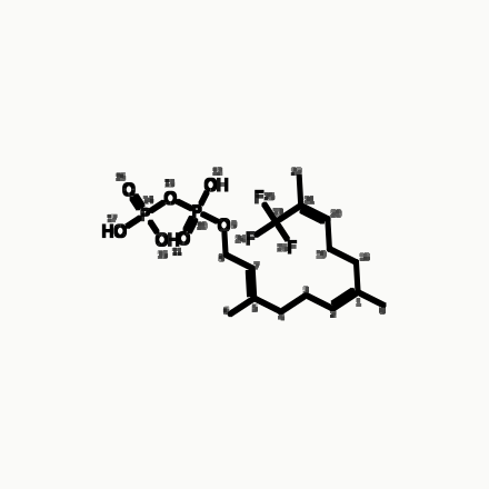 CC(=CCCC(C)=CCOP(=O)(O)OP(=O)(O)O)CCC=C(C)C(F)(F)F